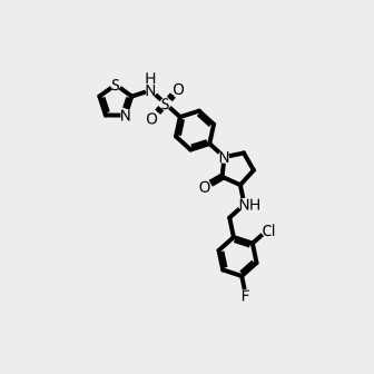 O=C1C(NCc2ccc(F)cc2Cl)CCN1c1ccc(S(=O)(=O)Nc2nccs2)cc1